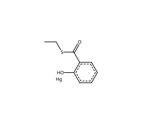 CCSC(=O)c1ccccc1O.[Hg]